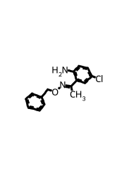 C/C(=N\OCc1ccccc1)c1cc(Cl)ccc1N